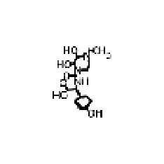 CCN1CCN(C(=O)NC(C(=O)O)c2ccc(O)cc2)C(O)C1O